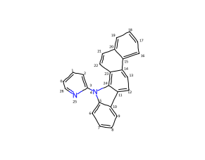 c1ccc(-n2c3ccccc3c3ccc4c5ccccc5ccc4c32)nc1